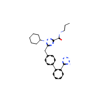 CCCNC(=O)c1nc(Cc2ccc(-c3ccccc3-c3nnn[nH]3)cc2)n(C2CCCCC2)n1